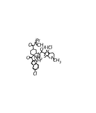 CC(C)N(C)C(=O)C1CCC(N)(C(=O)c2cc3cc(Cl)ccc3[nH]2)C(NC(=O)c2nc3c(s2)CN(C)CC3)C1.Cl